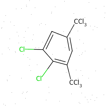 Clc1cc(C(Cl)(Cl)Cl)cc(C(Cl)(Cl)Cl)c1Cl